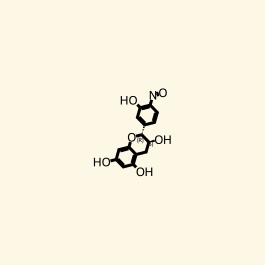 O=Nc1ccc([C@H]2Oc3cc(O)cc(O)c3C[C@@H]2O)cc1O